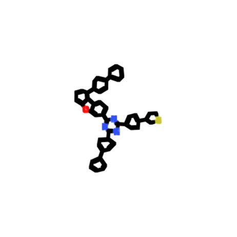 c1ccc(-c2ccc(-c3nc(-c4ccc(C5CCSC5)cc4)nc(-c4ccc5c(c4)oc4cccc(-c6ccc(-c7ccccc7)cc6)c45)n3)cc2)cc1